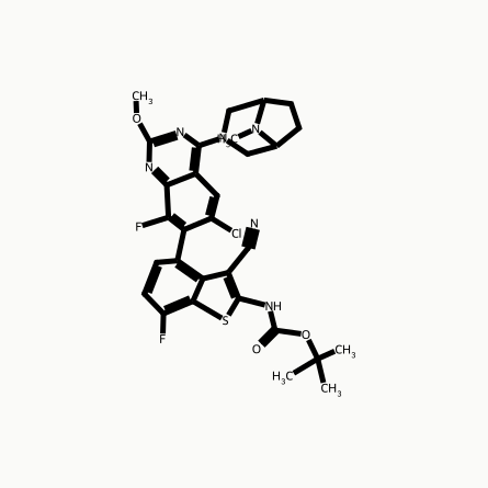 COc1nc(N2CC3CCC(C2)N3C)c2cc(Cl)c(-c3ccc(F)c4sc(NC(=O)OC(C)(C)C)c(C#N)c34)c(F)c2n1